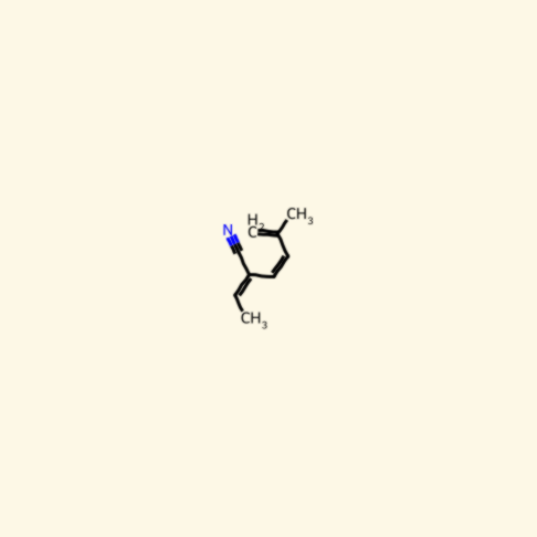 C=C(C)/C=C\C(C#N)=C/C